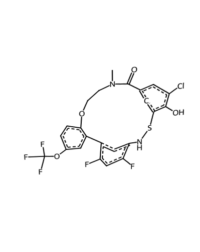 CN1CCOc2ccc(OC(F)(F)F)cc2-c2cc(c(F)cc2F)NSc2cc(cc(Cl)c2O)C1=O